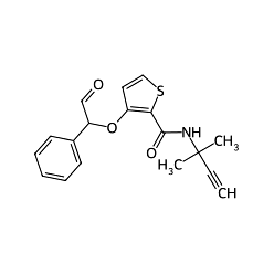 C#CC(C)(C)NC(=O)c1sccc1OC(C=O)c1ccccc1